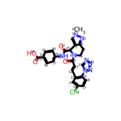 Cn1cc2c(n1)CCN(C(=O)C=Cc1cc(Cl)ccc1-n1cnnn1)C2C(=O)Nc1ccc(C(=O)O)cc1